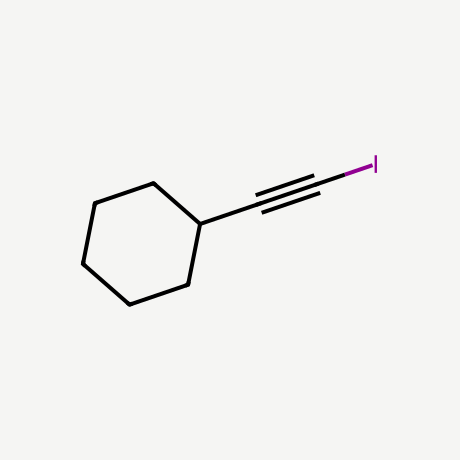 IC#CC1CCCCC1